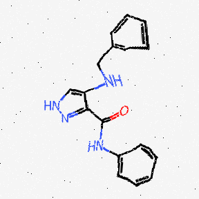 O=C(Nc1ccccc1)c1n[nH]cc1NCc1ccccc1